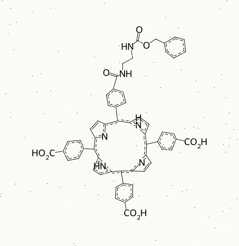 O=C(NCCNC(=O)c1ccc(-c2c3nc(c(-c4ccc(C(=O)O)cc4)c4ccc([nH]4)c(-c4ccc(C(=O)O)cc4)c4nc(c(-c5ccc(C(=O)O)cc5)c5ccc2[nH]5)C=C4)C=C3)cc1)OCc1ccccc1